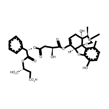 Cc1ccc(O)c2c1[C@]13CCN(C)[C@H](C)[C@]1(O)CC=C(OC(=O)[C@@H](O)CC(=O)O[C@H](C(=O)O[C@H](CC(=O)O)C(=O)O)c1ccccc1)[C@@H]3O2